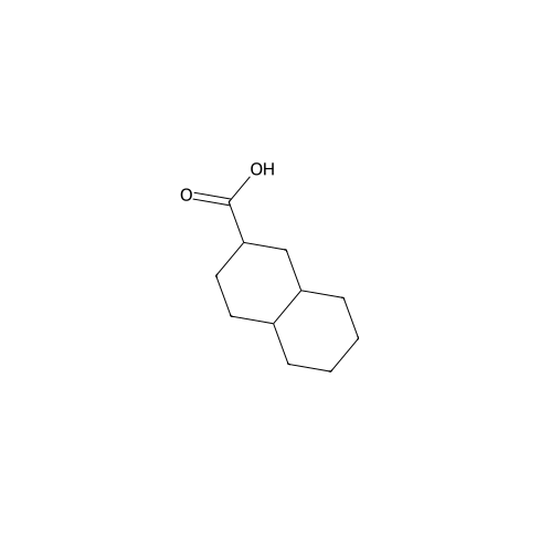 O=C(O)C1CCC2CCCCC2C1